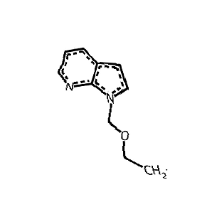 [CH2]COCn1ccc2cccnc21